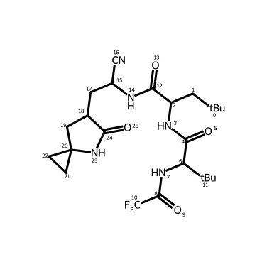 CC(C)(C)CC(NC(=O)C(NC(=O)C(F)(F)F)C(C)(C)C)C(=O)NC(C#N)CC1CC2(CC2)NC1=O